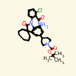 CC(C)(C)OC(=O)N1CCC(c2ccc3c(c2)C2(CCCCCC2)C(=O)N3c2cccc(Cl)c2C(N)=O)CC1